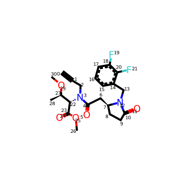 C#CCN(C(=O)C[C@@H]1CCC(=O)N1Cc1cccc(F)c1F)[C@H](C(=O)OC)[C@@H](C)OC